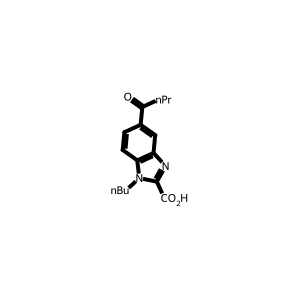 CCCCn1c(C(=O)O)nc2cc(C(=O)CCC)ccc21